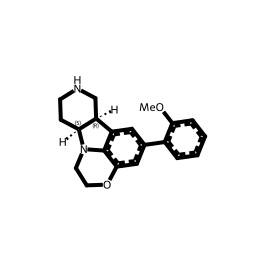 COc1ccccc1-c1cc2c3c(c1)[C@@H]1CNCC[C@@H]1N3CCO2